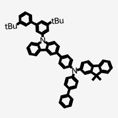 CC(C)(C)c1cccc(-c2cc(-n3c4ccccc4c4cc(-c5ccc(N(c6ccc(-c7ccccc7)cc6)c6ccc7c(c6)C(C)(C)c6ccccc6-7)cc5)ccc43)cc(C(C)(C)C)c2)c1